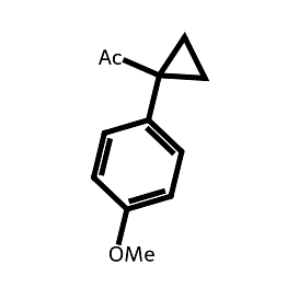 COc1ccc(C2(C(C)=O)CC2)cc1